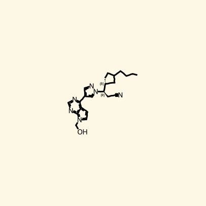 CCCCC1CC[C@@H]([C@@H](CC#N)n2cc(-c3ncnc4c3ccn4CO)cn2)C1